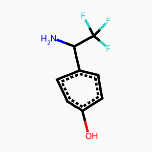 NC(c1ccc(O)cc1)C(F)(F)F